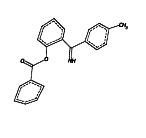 Cc1ccc(C(=N)c2ccccc2OC(=O)c2ccccc2)cc1